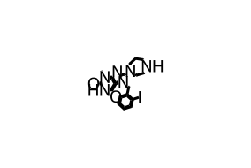 Cn1c(=O)[nH]c(=O)c2c1nc(N1CCCNCC1)n2Cc1ccccc1I